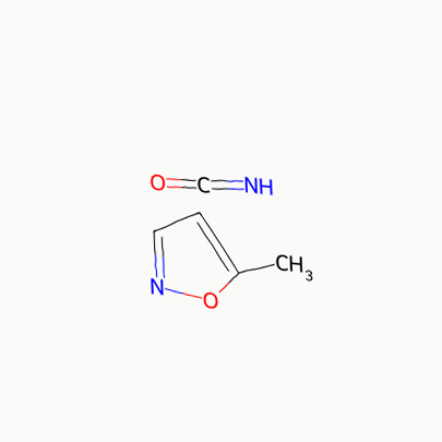 Cc1ccno1.N=C=O